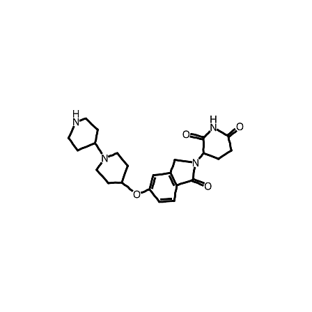 O=C1CCC(N2Cc3cc(OC4CCN(C5CCNCC5)CC4)ccc3C2=O)C(=O)N1